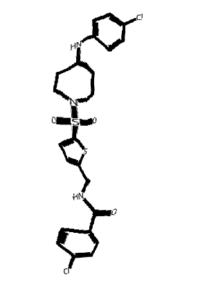 O=C(NCc1ccc(S(=O)(=O)N2CCC(Nc3ccc(Cl)cc3)CC2)s1)c1ccc(Cl)cc1